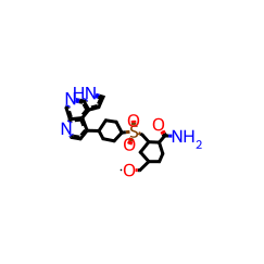 NC(=O)C1CCC(C[O])CC1CS(=O)(=O)C1CCC(c2ccnc3cnc4[nH]ccc4c23)CC1